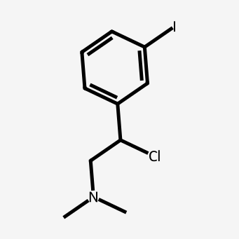 CN(C)CC(Cl)c1cccc(I)c1